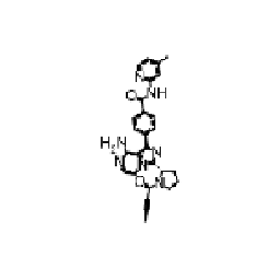 CC#CC(=O)N1CCC[C@H]1c1nc(-c2ccc(C(=O)Nc3cc(C)ccn3)cc2)c2c(N)nccn12